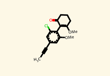 CC#Cc1cc(Cl)c(C2=C(OC)CCCC2=O)c(OC)c1